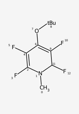 CN1C(F)=C(F)C(OC(C)(C)C)=C(F)C1F